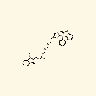 CN(CCOCOCCN1CCC(C(C(N)=O)(c2ccccc2)c2ccccc2)C1)CCN1C(=O)C2=CCCC=C2C1=O